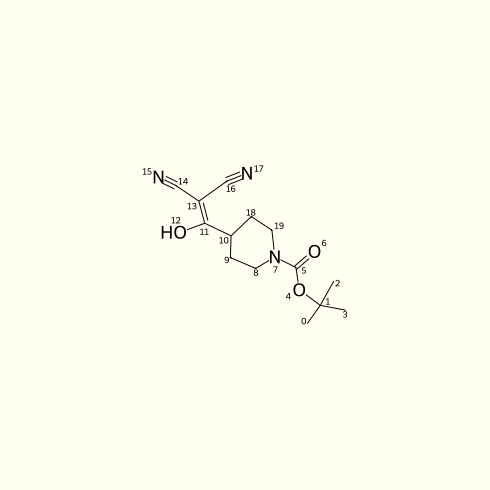 CC(C)(C)OC(=O)N1CCC(C(O)=C(C#N)C#N)CC1